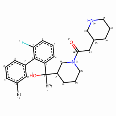 [CH2]CCC(O)(c1cccc(F)c1-c1cccc(CC)c1)C1CCCN(C(=O)CC2CCCNC2)C1